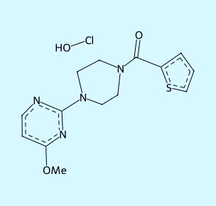 COc1ccnc(N2CCN(C(=O)c3cccs3)CC2)n1.OCl